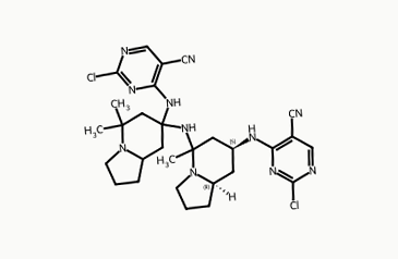 CC1(C)CC(Nc2nc(Cl)ncc2C#N)(NC2(C)C[C@@H](Nc3nc(Cl)ncc3C#N)C[C@H]3CCCN32)CC2CCCN21